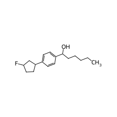 CCCCCC(O)c1ccc(C2CCC(F)C2)cc1